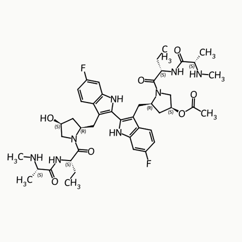 CC[C@H](NC(=O)[C@H](C)NC)C(=O)N1C[C@@H](O)C[C@H]1Cc1c(-c2[nH]c3cc(F)ccc3c2C[C@@H]2C[C@H](OC(C)=O)CN2C(=O)[C@H](CC)NC(=O)[C@H](C)NC)[nH]c2cc(F)ccc12